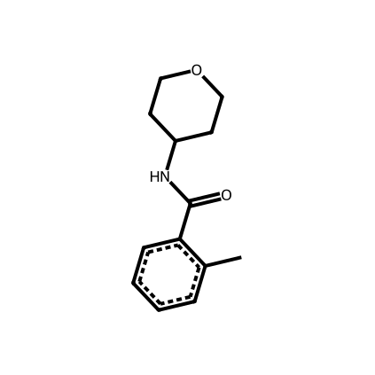 Cc1ccccc1C(=O)NC1CCOCC1